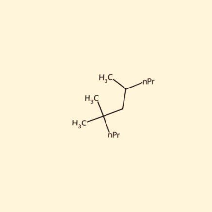 C[CH]CC(C)CC(C)(C)CCC